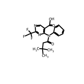 CC(C)(C)CC(=O)N(c1ccccc1)c1nc(C(F)(F)F)ncc1C(=O)O